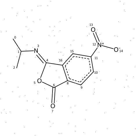 CC(C)N=C1OC(=O)c2ccc([N+](=O)[O-])cc21